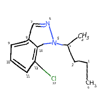 CCCC(C)n1ncc2cccc(Cl)c21